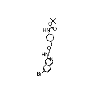 CC(C)(C)OC(=O)NC1CCC(COCNc2cc3cc(Br)ccc3cn2)CC1